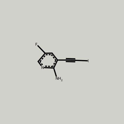 Nc1ncc(F)cc1C#CI